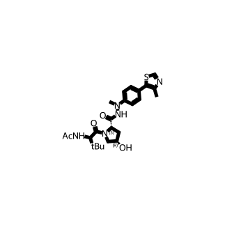 CC(=O)NC(C(=O)N1C[C@H](O)C[C@H]1C(=O)NN(C)c1ccc(-c2scnc2C)cc1)C(C)(C)C